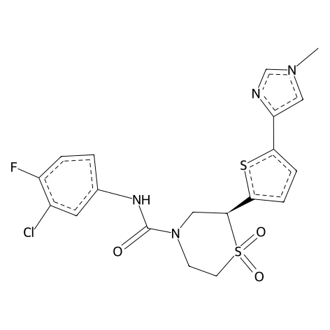 Cn1cnc(-c2ccc([C@@H]3CN(C(=O)Nc4ccc(F)c(Cl)c4)CCS3(=O)=O)s2)c1